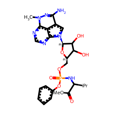 COC(=O)C(NP(=O)(OC[C@H]1O[C@@H](n2cc3c4c(ncnc42)N(C)N=C3N)C(O)C1O)Oc1ccccc1)C(C)C